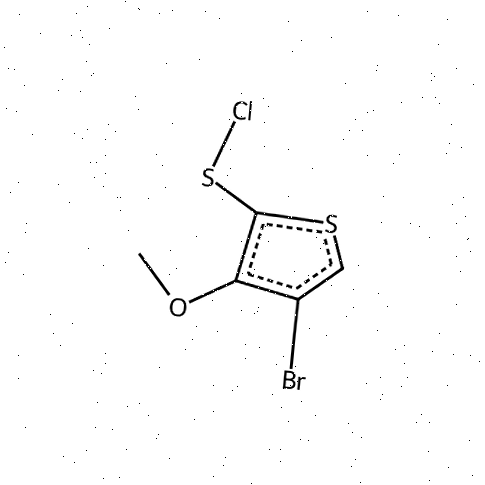 COc1c(Br)csc1SCl